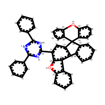 c1ccc(-c2nc(-c3ccccc3)nc(-c3cc4c(c5c3oc3ccccc35)-c3ccccc3C43c4ccccc4Oc4ccccc43)n2)cc1